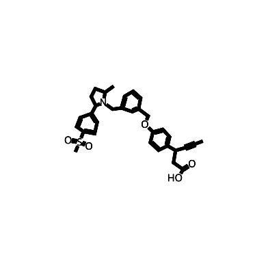 CC#CC(CC(=O)O)c1ccc(OCc2cccc(CN3C(C)CCC3c3ccc(S(C)(=O)=O)cc3)c2)cc1